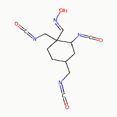 O=C=NCC1CCC(C=NO)(CN=C=O)C(N=C=O)C1